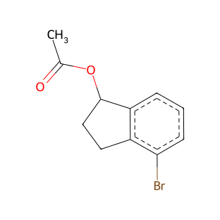 CC(=O)OC1CCc2c(Br)cccc21